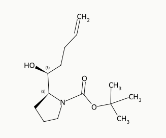 C=CCC[C@H](O)[C@@H]1CCCN1C(=O)OC(C)(C)C